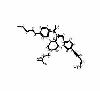 CCCCCc1ccc(C(=O)N(Cc2ccc(C#CCO)cc2)C2CCN(CCC(C)C)CC2)cc1